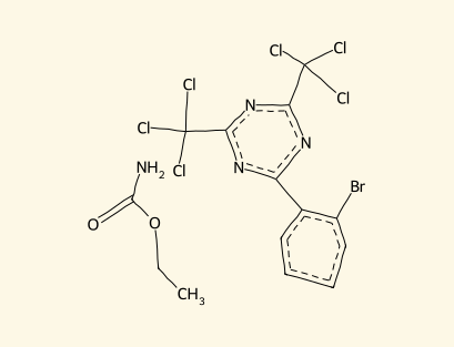 CCOC(N)=O.ClC(Cl)(Cl)c1nc(-c2ccccc2Br)nc(C(Cl)(Cl)Cl)n1